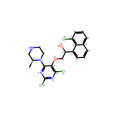 C[C@H]1CNCCN1c1nc(Cl)nc(Cl)c1OCC(O)c1cccc2cccc(Cl)c12